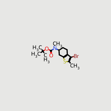 Cc1sc2c(c1Br)CCC(N(C)C(=O)OC(C)(C)C)C2